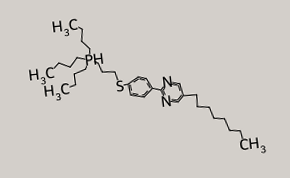 CCCCCCCCc1cnc(-c2ccc(SCCC[PH](CCCC)(CCCC)CCCC)cc2)nc1